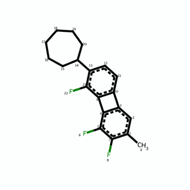 Cc1cc2c(c(F)c1F)-c1c-2ccc(C2CCCCCC2)c1F